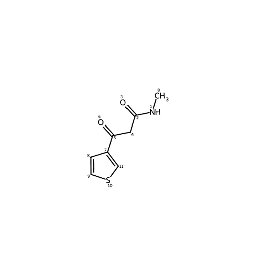 CNC(=O)CC(=O)c1ccsc1